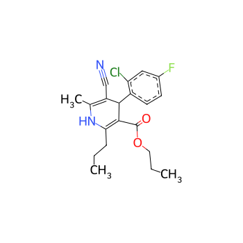 CCCOC(=O)C1=C(CCC)NC(C)=C(C#N)C1c1ccc(F)cc1Cl